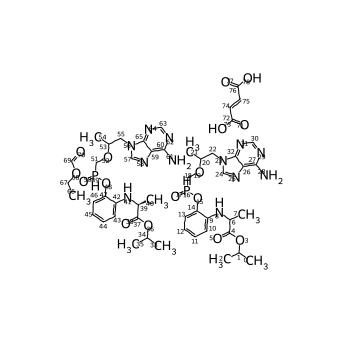 CC(C)OC(=O)C(C)Nc1ccccc1O[PH](=O)COC(C)Cn1cnc2c(N)ncnc21.CC(C)OC(=O)[C@H](C)Nc1ccccc1O[PH](=O)COC(C)Cn1cnc2c(N)ncnc21.CCOC=O.O=C(O)/C=C/C(=O)O